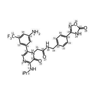 CC(C)Nc1ncc(-c2cc(N)cc(C(F)(F)F)c2)n(CC(=O)NCc2ccc(-c3noc(=O)[nH]3)cc2)c1=O